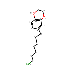 BrCCCCCCCc1ccc2c(c1)OCCO2